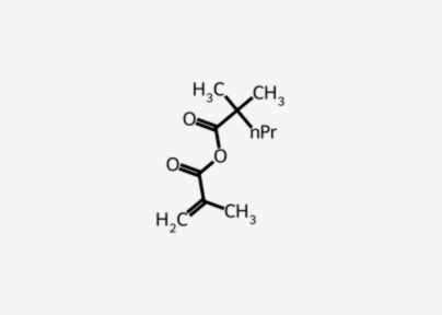 C=C(C)C(=O)OC(=O)C(C)(C)CCC